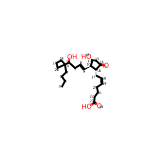 CCCCC1(C(O)C/C=C/[C@H]2[C@H](O)CC(=O)[C@@H]2C/C=C\CCCC(=O)O)CCC1